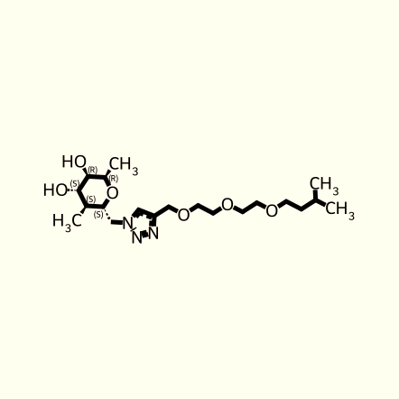 CC(C)CCOCCOCCOCc1cn(C[C@H]2O[C@H](C)[C@H](O)[C@@H](O)[C@@H]2C)nn1